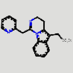 CCOC(=O)Cc1c2n(c3ccccc13)C(Cc1ccccn1)=NCC2